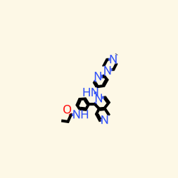 CCC(=O)Nc1cccc(C2c3ccncc3C=CN2Nc2ccc(N3CCN(C)CC3)nc2)c1